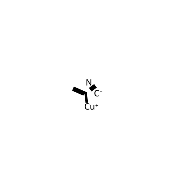 C=[CH][Cu+].[C-]#N